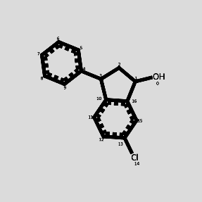 OC1CC(c2ccccc2)c2ccc(Cl)cc21